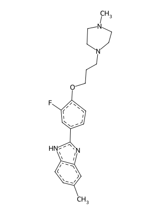 Cc1ccc2[nH]c(-c3ccc(OCCCN4CCN(C)CC4)c(F)c3)nc2c1